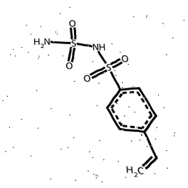 C=Cc1ccc(S(=O)(=O)NS(N)(=O)=O)cc1